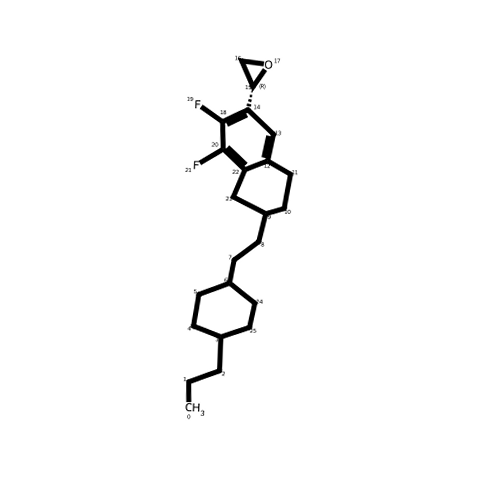 CCCC1CCC(CCC2CCc3cc([C@@H]4CO4)c(F)c(F)c3C2)CC1